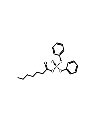 CCCCCCC(=O)OP(=O)(Oc1ccccc1)Oc1ccccc1